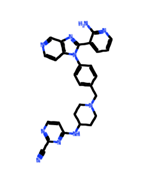 N#Cc1nccc(NC2CCN(Cc3ccc(-n4c(-c5cccnc5N)nc5cnccc54)cc3)CC2)n1